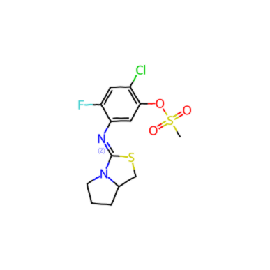 CS(=O)(=O)Oc1cc(/N=C2\SCC3CCCN23)c(F)cc1Cl